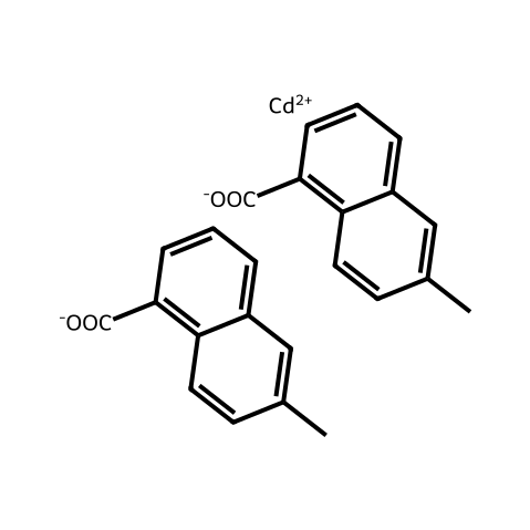 Cc1ccc2c(C(=O)[O-])cccc2c1.Cc1ccc2c(C(=O)[O-])cccc2c1.[Cd+2]